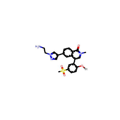 CCOc1ccc(S(C)(=O)=O)cc1-c1cn(C)c(=O)c2ccc(-c3cnn(CCN)c3)cc12